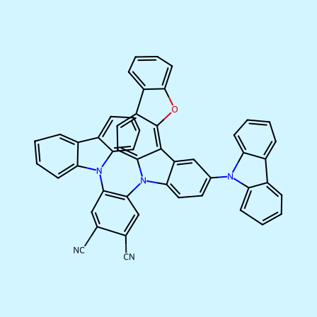 N#Cc1cc(-n2c3ccccc3c3ccccc32)c(-n2c3ccc(-n4c5ccccc5c5ccccc54)cc3c3c4oc5ccccc5c4ccc32)cc1C#N